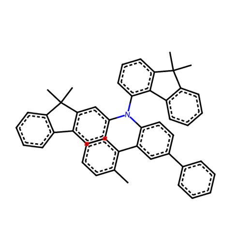 Cc1ccccc1-c1cc(-c2ccccc2)ccc1N(c1ccc2c(c1)C(C)(C)c1ccccc1-2)c1cccc2c1-c1ccccc1C2(C)C